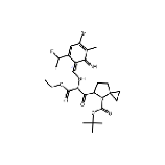 CCOC(=O)C(N/C=C1\C(=N)C(C)=C(Br)C=C1C(F)F)C(=O)C1CCC2(CC2)N1C(=O)OC(C)(C)C